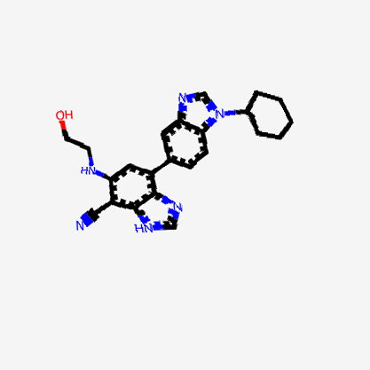 N#Cc1c(NCCO)cc(-c2ccc3c(c2)ncn3C2CCCCC2)c2nc[nH]c12